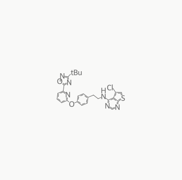 CC(C)(C)c1noc(-c2cccc(Oc3ccc(CCNc4ncnc5scc(Cl)c45)cc3)n2)n1